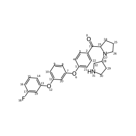 O=C(c1ccc(Oc2cccc(Oc3cccc(F)c3)c2)cc1)C1CCCN1C1CCNC1